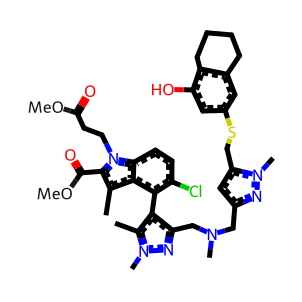 COC(=O)CCn1c(C(=O)OC)c(C)c2c(-c3c(CN(C)Cc4cc(CSc5cc(O)c6c(c5)CCCC6)n(C)n4)nn(C)c3C)c(Cl)ccc21